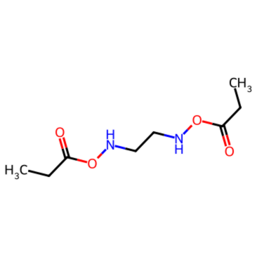 CCC(=O)ONCCNOC(=O)CC